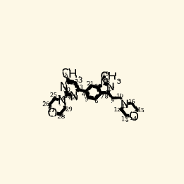 Cc1cc(-c2ccc3c(CCN4CCOCC4)nn(C)c3c2)nc(N2CCOCC2)n1